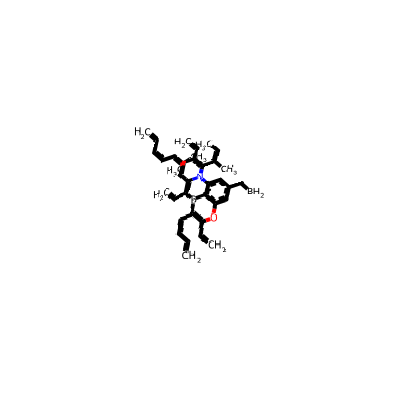 BCc1cc2c3c(c1)N(C(/C(C)=C\C)=C(C=C)\C(C)=C\C=C/C=C)C(/C=C\C)=C(C=C)B3C(/C=C\C=C)=C(C=C)O2